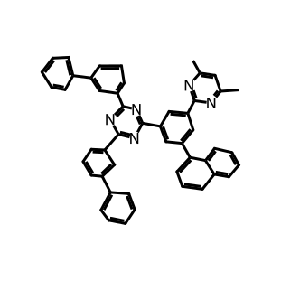 Cc1cc(C)nc(-c2cc(-c3nc(-c4cccc(-c5ccccc5)c4)nc(-c4cccc(-c5ccccc5)c4)n3)cc(-c3cccc4ccccc34)c2)n1